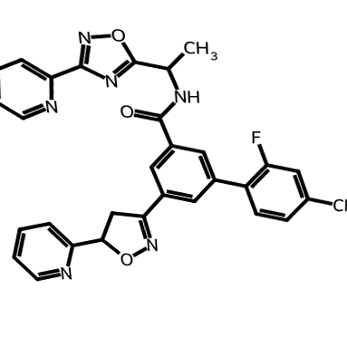 Cc1ccc(-c2cc(C(=O)NC(C)c3nc(-c4ccccn4)no3)cc(C3=NOC(c4ccccn4)C3)c2)c(F)c1